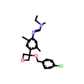 CCN(C)C=Nc1cc(C)c(C2(OCc3ccc(Cl)cc3)COC2)cc1C